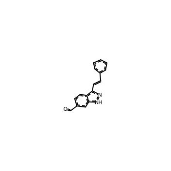 O=Cc1ccc2c(C=Cc3ccccc3)n[nH]c2c1